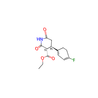 CCOC(=O)[C@@H]1C(=O)NC(=O)C[C@H]1C1=CC=C(F)CC1